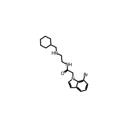 O=C(Cn1ccc2cccc(Br)c21)NCCNCC1CCCCC1